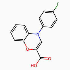 O=C(O)C1=CN(c2ccc(F)cc2)c2ccccc2O1